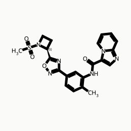 Cc1ccc(-c2noc([C@@H]3CCN3S(C)(=O)=O)n2)cc1NC(=O)c1cnc2ccccn12